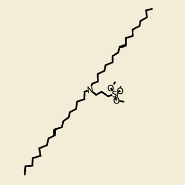 CCCCCCCCC=CCCCCCCCCN(CCCCCCCCC=CCCCCCCCC)CCC[Si](OC)(OC)OC